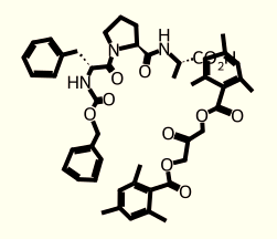 C[C@H](NC(=O)[C@@H]1CCCN1C(=O)[C@@H](Cc1ccccc1)NC(=O)OCc1ccccc1)C(=O)O.Cc1cc(C)c(C(=O)OCC(=O)COC(=O)c2c(C)cc(C)cc2C)c(C)c1